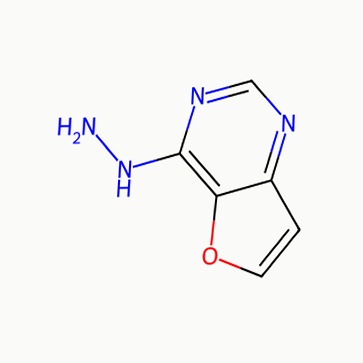 NNc1ncnc2ccoc12